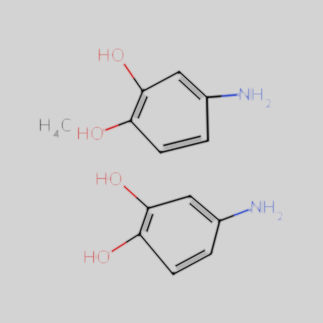 C.Nc1ccc(O)c(O)c1.Nc1ccc(O)c(O)c1